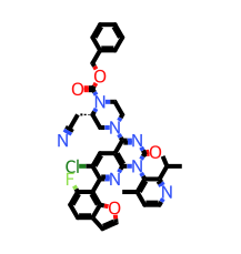 Cc1ccnc(C(C)C)c1-n1c(=O)nc(N2CCN(C(=O)OCc3ccccc3)[C@@H](CC#N)C2)c2cc(Cl)c(-c3c(F)ccc4ccoc34)nc21